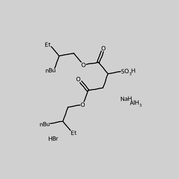 Br.CCCCC(CC)COC(=O)CC(C(=O)OCC(CC)CCCC)S(=O)(=O)O.[AlH3].[NaH]